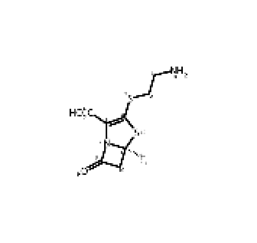 NCCSC1=C(C(=O)O)N2C(=O)C[C@@H]2S1